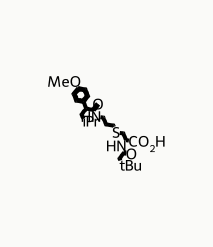 COc1ccc(C(CC(C)C)C(=O)NCCCSCC(NC(=O)CC(C)(C)C)C(=O)O)cc1